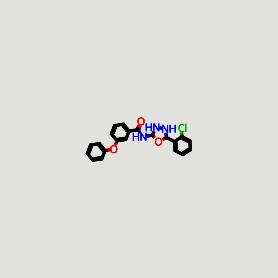 O=C(NC1NNC(c2ccccc2Cl)O1)c1cccc(Oc2ccccc2)c1